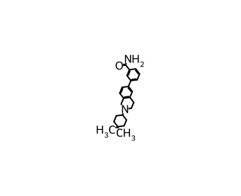 CC1(C)CCC(N2CCc3cc(-c4cccc(C(N)=O)c4)ccc3C2)CC1